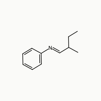 CCC(C)/C=N/c1ccccc1